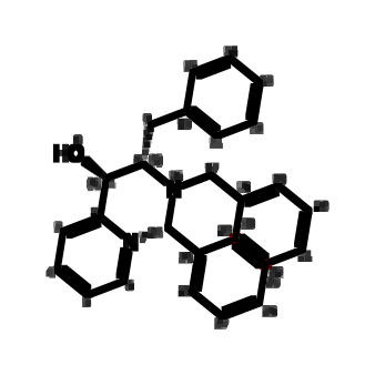 O[C@H](c1ccccn1)[C@H](Cc1ccccc1)N(Cc1ccccc1)Cc1ccccc1